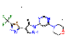 C=C1C(c2nnc(C(F)(F)F)s2)=CNN1c1cc(N2CCOCC2)ncn1